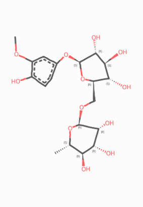 COc1cc(O[C@@H]2O[C@H](CO[C@@H]3O[C@@H](C)[C@H](O)[C@@H](O)[C@H]3O)[C@@H](O)[C@H](O)[C@H]2O)ccc1O